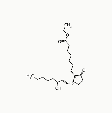 CCCCCC(O)C=C[C@H]1CCC(=O)[C@@H]1CCCCCCC(=O)OCC